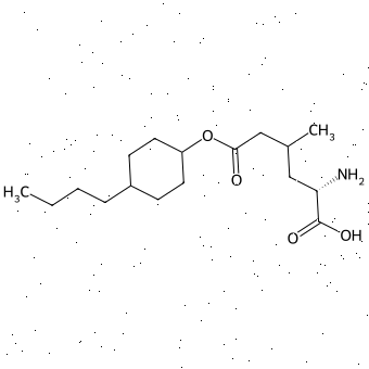 CCCCC1CCC(OC(=O)CC(C)C[C@H](N)C(=O)O)CC1